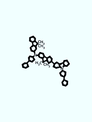 CC1(C)c2ccccc2-c2ccc(N(c3ccc(-c4ccccc4)cc3)c3ccc4c(c3)C(C)(C)c3cc(-c5ccc6c(c5)c5ccccc5n6-c5ccc(-c6ccccc6)cc5)ccc3-4)cc21